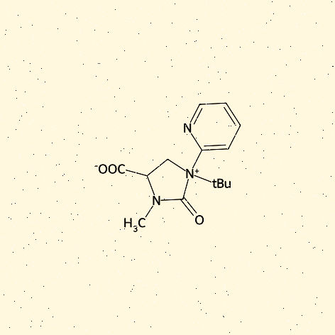 CN1C(=O)[N+](c2ccccn2)(C(C)(C)C)CC1C(=O)[O-]